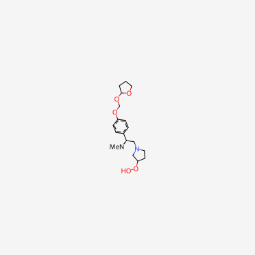 CN[C@H](CN1CCC(OO)C1)c1ccc(OCOC2CCCO2)cc1